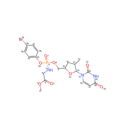 COC(=O)CNP(=O)(OCC1CC(C)C(n2ccc(=O)[nH]c2=O)O1)Oc1ccc(Br)cc1